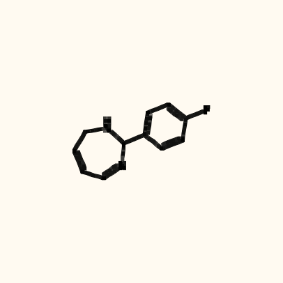 Fc1ccc(C2N=CC=CCN2)cc1